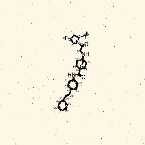 N#C[C@@H]1C[C@H](F)CN1C(=O)CNC12CCC(C(=O)Nc3ccc(C=Cc4ccccc4)cc3)(CC1)CC2